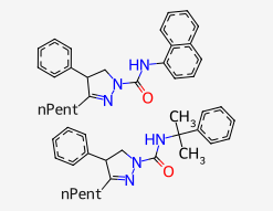 CCCCCC1=NN(C(=O)NC(C)(C)c2ccccc2)CC1c1ccccc1.CCCCCC1=NN(C(=O)Nc2cccc3ccccc23)CC1c1ccccc1